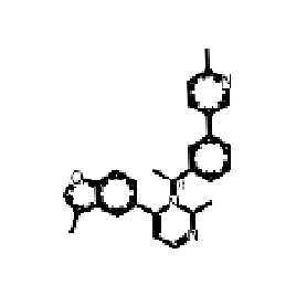 Cc1ccc(-c2cccc([C@H](C)N3C(c4ccc5occ(C)c5c4)=CC=NC3C)c2)cn1